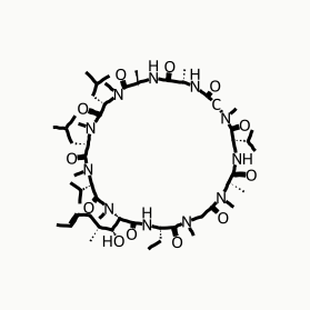 C/C=C/C[C@@H](C)[C@@H](O)[C@H]1C(=O)N[C@@H](CC)C(=O)N(C)CC(=O)N(C)[C@@H](C)C(=O)N[C@@H](C(C)C)C(=O)N(C)CC(=O)N[C@@H](C)C(=O)N[C@H](C)C(=O)N(C)[C@@H](CC(C)C)C(=O)N(C)[C@@H](CC(C)C)C(=O)N(C)[C@@H](C(C)C)C(=O)N1C